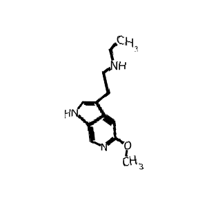 CCNCCc1c[nH]c2cnc(OC)cc12